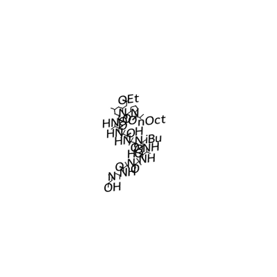 CCCCCCCCC(C)C(=O)N1CCCC1C(=O)N1C(CC(=O)CC)CC(C)CC1C(=O)NC(C)C(=O)NC(C)(C)C(=O)NC(C)(C)C(=O)NC(C(=O)NC(C)C(=O)NC(C)(C)C(=O)NC(C)(C)C(=O)NC(C)CN(C)CCO)C(C)CC